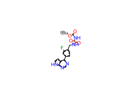 CC(C)(C)OC(=O)NS(=O)(=O)NCc1ccc(-c2ncnc3[nH]ccc23)cc1F